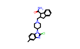 Cc1ccc2c(c1)nc(Cl)n2C1CCN(CC2Cc3c[c]ccc3C2C(N)=O)CC1